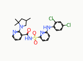 CC1CN(c2ncccc2C(=O)NS(=O)(=O)c2cccc(Nc3ccc(Cl)cc3Cl)n2)C(C)(C)C1